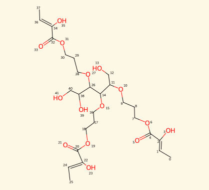 CC=C(O)C(=O)OCCCOC(CO)C(OCCCOC(=O)C(O)=CC)C(OCCCOC(=O)C(O)=CC)C(O)CO